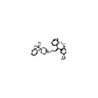 COC(=O)C1(c2ccccc2)CCN(CC/C=C2/c3cc(OC)ccc3OCc3ncccc32)CC1